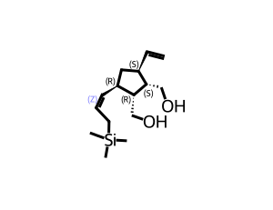 C=C[C@@H]1C[C@H](/C=C\C[Si](C)(C)C)[C@@H](CO)[C@H]1CO